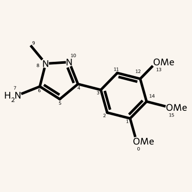 COc1cc(-c2cc(N)n(C)n2)cc(OC)c1OC